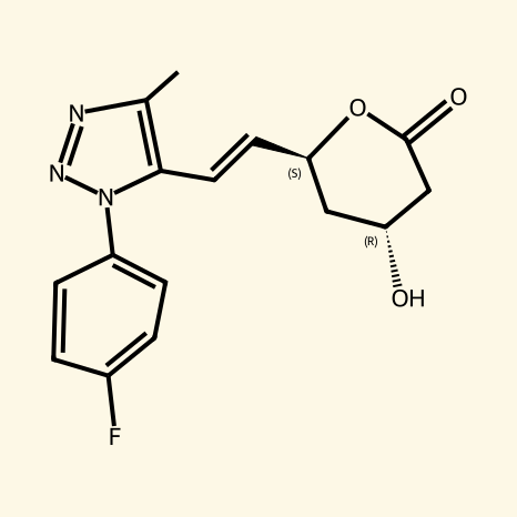 Cc1nnn(-c2ccc(F)cc2)c1C=C[C@@H]1C[C@@H](O)CC(=O)O1